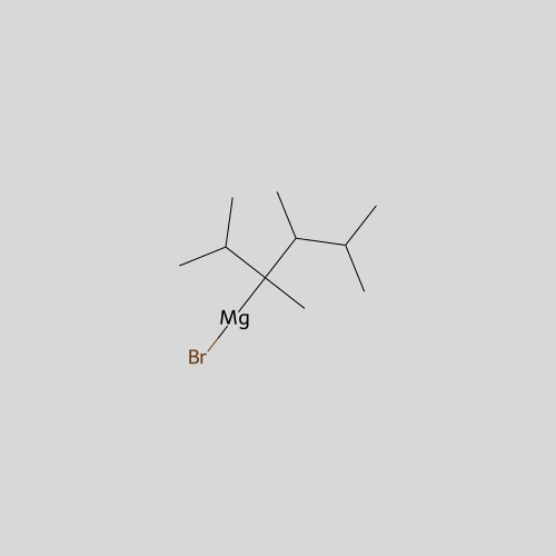 CC(C)C(C)[C](C)([Mg][Br])C(C)C